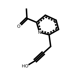 CC(=O)c1cccc(CC#CO)n1